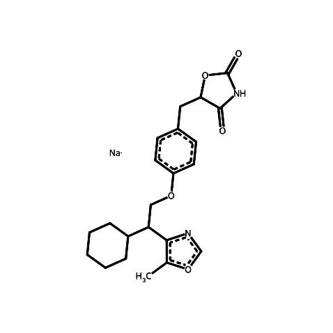 Cc1ocnc1C(COc1ccc(CC2OC(=O)NC2=O)cc1)C1CCCCC1.[Na]